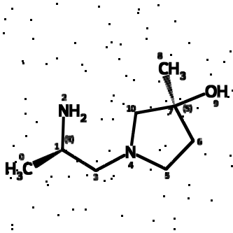 C[C@@H](N)CN1CC[C@](C)(O)C1